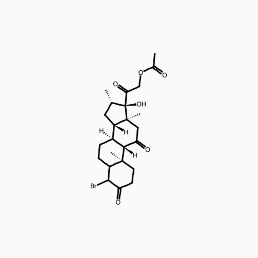 CC(=O)OCC(=O)[C@@]1(O)[C@@H](C)C[C@H]2[C@@H]3CCC4C(Br)C(=O)CC[C@]4(C)[C@H]3C(=O)C[C@@]21C